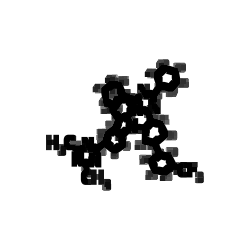 Cc1nc(C)nc(-c2ccc3c(c2)c2ccccc2n3-c2cc(-c3cccc(C(F)(F)F)c3)ccc2-c2nc(-c3ccccc3)nc(-c3ccccc3)n2)n1